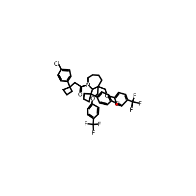 O=C(CC1(c2ccc(Cl)cc2)CCC1)N1CCCCC(COc2ccc(C(F)(F)F)cc2)(COc2ccc(C(F)(F)F)cc2)C1C1(c2ccc(Cl)cc2)CCC1